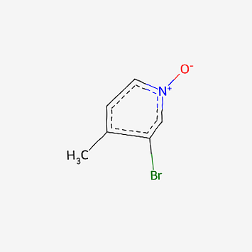 Cc1cc[n+]([O-])cc1Br